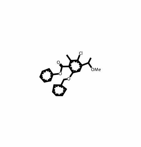 COC(C)c1cc(OCc2ccccc2)c(C(=O)Oc2ccccc2)c(C)c1Cl